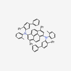 Cc1ccccc1N(c1cc(-c2ccccc2)ccc1C(C)C)c1cc(C(C)C)c2ccc3c(N(c4ccccc4C)c4cc(-c5ccccc5)ccc4C(C)C)cc(C(C)C)c4ccc1c2c43